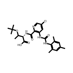 Cc1cc(C)c(NC(=O)Nc2cc(Cl)cnc2C(=O)N[C@H](C(=O)O)C(C)OC(C)(C)C)c(C)c1